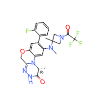 C[C@@H]1C(=O)NN=C2COc3cc(-c4ccccc4F)c(N(C)C4(C)CN(C(=O)C(F)(F)F)C4)cc3N21